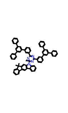 CC1(C)c2ccccc2-c2cc3c4ccccc4n(C45CN4C(c4cccc(-c6cc(-c7ccccc7)cc(-c7ccccc7)c6)c4)=NC(c4cccc(-c6cc(-c7ccccc7)cc(-c7ccccc7)c6)c4)=N5)c3cc21